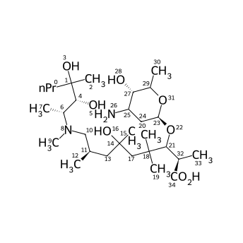 CCCC(C)(O)[C@H](O)[C@@H](C)N(C)C[C@H](C)CC(C)(O)CC(C)(C)C(O[C@H]1CC(N)[C@H](O)C(C)O1)[C@@H](C)C(=O)O